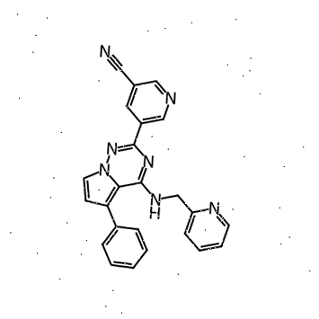 N#Cc1cncc(-c2nc(NCc3ccccn3)c3c(-c4ccccc4)ccn3n2)c1